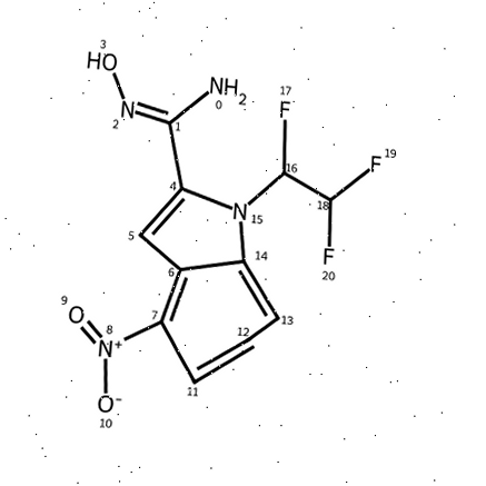 NC(=NO)c1cc2c([N+](=O)[O-])cccc2n1C(F)C(F)F